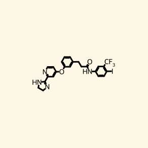 O=C(CCc1cccc(Oc2ccnc(C3=NCCN3)c2)c1)Nc1ccc(I)c(C(F)(F)F)c1